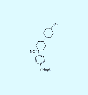 CCCCCCCc1ccc([C@]2(C#N)CC[C@@H](C3CCC(CCC)CC3)CC2)cc1